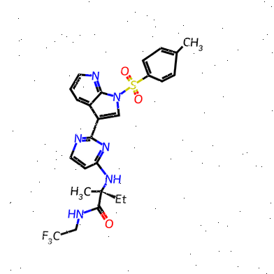 CC[C@@](C)(Nc1ccnc(-c2cn(S(=O)(=O)c3ccc(C)cc3)c3ncccc23)n1)C(=O)NCC(F)(F)F